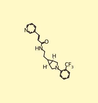 O=C(/C=C/c1cccnc1)NCCC1[C@H]2CN(c3ccccc3C(F)(F)F)C[C@@H]12